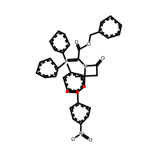 CC1(CC(=S)c2ccc([N+](=O)[O-])cc2)CC(=O)N1C(C(=O)OCc1ccccc1)=P(c1ccccc1)(c1ccccc1)c1ccccc1